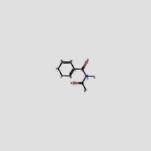 CC(=O)N(C)C(=O)C1=CCCC=C1